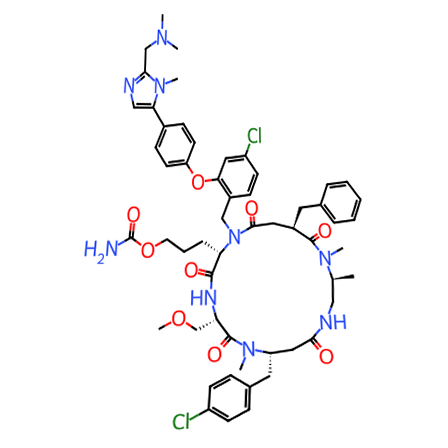 COC[C@@H]1NC(=O)[C@H](CCCOC(N)=O)N(Cc2ccc(Cl)cc2Oc2ccc(-c3cnc(CN(C)C)n3C)cc2)C(=O)C[C@@H](Cc2ccccc2)C(=O)N(C)[C@@H](C)CNC(=O)C[C@H](Cc2ccc(Cl)cc2)N(C)C1=O